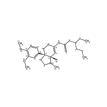 CCCC(CC)CC(=O)OC1=C[C@@H]2N(C)CC[C@]2(c2ccc(OC)c(OC)c2)CC1